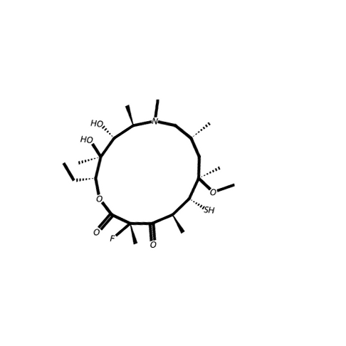 CC[C@H]1OC(=O)[C@@](C)(F)C(=O)[C@H](C)[C@@H](S)[C@](C)(OC)C[C@@H](C)CN(C)[C@H](C)[C@@H](O)[C@]1(C)O